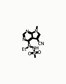 CCN(NS(C)(=O)=O)c1ncnc2c1c(C#N)cn2C